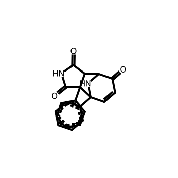 O=C1C=CC2(c3ccccc3)NC1C1C(=O)NC(=O)C12c1ccccc1